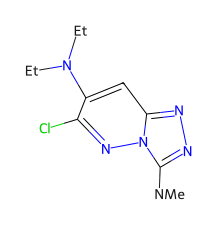 CCN(CC)c1cc2nnc(NC)n2nc1Cl